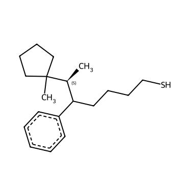 C[C@@H](C(CCCCS)c1ccccc1)C1(C)CCCC1